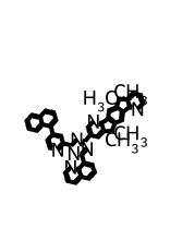 CC1(C)c2cc3c(cc2-c2ncccc21)C(C)(C)c1cc(-c2nc(-c4cc(-c5cccc6ccccc56)ccn4)nc(-c4cccc5cccnc45)n2)cnc1-3